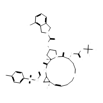 CCC(C)(C)OC(=O)N[C@H]1CCOCCC=C[C@@H]2C[C@@]2(C(=O)NS(=O)(=O)c2ccc(Cl)cc2)NC(=O)[C@@H]2C[C@@H](OC(=O)N3Cc4cccc(Cl)c4C3)CN2C1=O